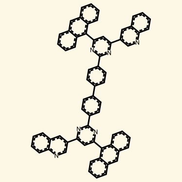 c1ccc2ncc(-c3cc(-c4c5ccccc5cc5ccccc45)nc(-c4ccc(-c5ccc(-c6nc(-c7cnc8ccccc8c7)cc(-c7c8ccccc8cc8ccccc78)n6)cc5)cc4)n3)cc2c1